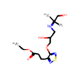 CCOC(=O)CCc1nsnc1OCC(O)CNC(C)(C)CO